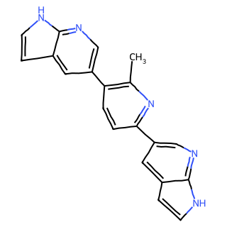 Cc1nc(-c2cnc3[nH]ccc3c2)ccc1-c1cnc2[nH]ccc2c1